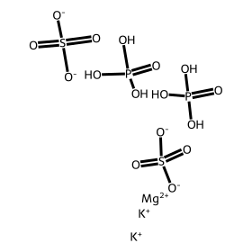 O=P(O)(O)O.O=P(O)(O)O.O=S(=O)([O-])[O-].O=S(=O)([O-])[O-].[K+].[K+].[Mg+2]